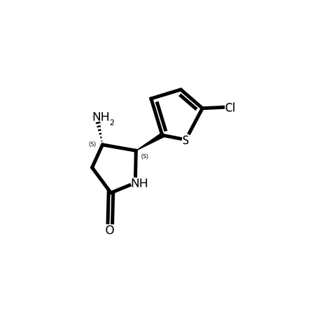 N[C@H]1CC(=O)N[C@@H]1c1ccc(Cl)s1